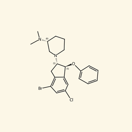 CN(C)[C@@H]1CCCN([C@H]2Cc3c(Br)cc(Cl)cc3[C@@H]2Oc2ccccc2)C1